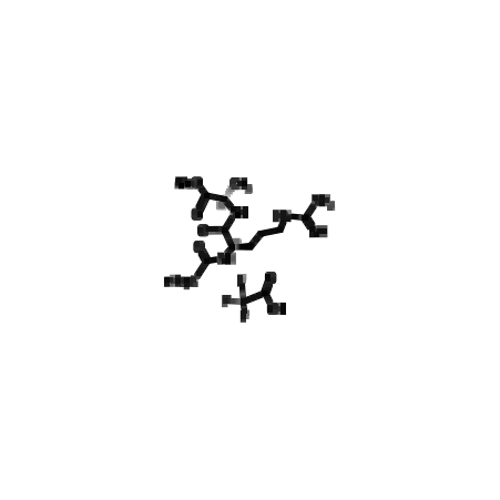 CCCCCCCC(=O)N[C@H](CCCNC(=N)N)C(=O)N[C@@H](C)C(=O)OC.O=C(O)C(F)(F)F